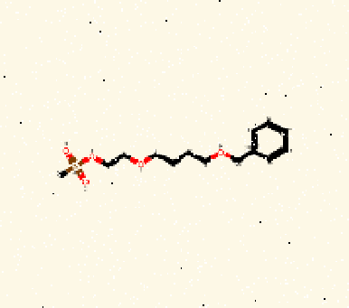 CS(=O)(=O)OCCOCCCCOCc1ccccc1